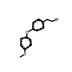 CSc1ccc(Oc2ccc(CCBr)cc2)cc1